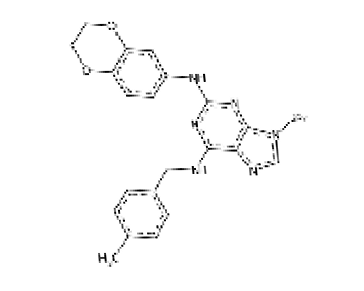 Cc1ccc(CNc2nc(Nc3ccc4c(c3)OCCO4)nc3c2ncn3C(C)C)cc1